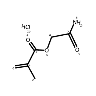 C=C(C)C(=O)OCC(N)=O.Cl